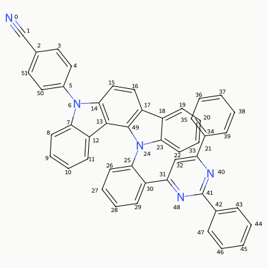 N#Cc1ccc(-n2c3ccccc3c3c2ccc2c4ccccc4n(-c4ccccc4-c4cc(-c5ccccc5)nc(-c5ccccc5)n4)c23)cc1